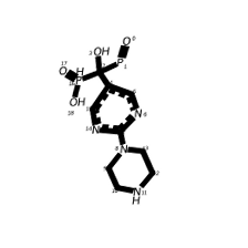 O=PC(O)(c1cnc(N2CCNCC2)nc1)[PH](=O)O